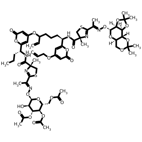 C=CCOc1cc([C@@H](CCCC(C=C)Oc2cc([C@@H](CCC)NC(=O)[C@]3(C)CSC(/C(C)=N/O[C@H]4O[C@H](COC(C)=O)[C@@H](OC(C)=O)[C@H](OC(C)=O)[C@H]4O)=N3)oc(=O)c2)NC(=O)[C@]2(C)CSC(/C(C)=N/O[C@H]3O[C@@H]4COC(C)(C)O[C@H]4[C@@H]4OC(C)(C)O[C@H]34)=N2)oc(=O)c1